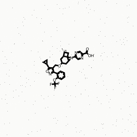 C[C@@H]1CC23C1CC(OCc1c(-c4ccccc4OC(F)(F)F)noc1C1CC1)CC2N3c1cnc(C(=O)O)cn1